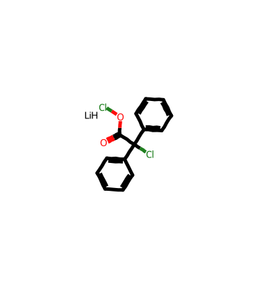 O=C(OCl)C(Cl)(c1ccccc1)c1ccccc1.[LiH]